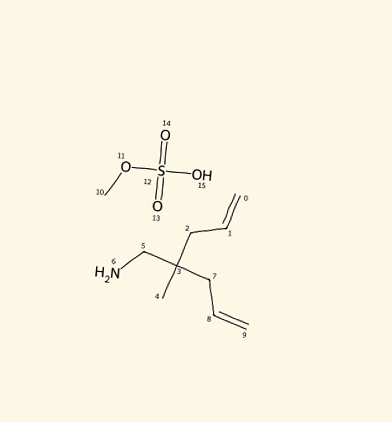 C=CCC(C)(CN)CC=C.COS(=O)(=O)O